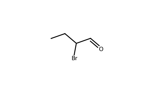 CCC(Br)C=O